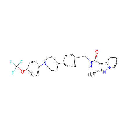 Cc1nn2ccccc2c1C(=O)NCc1ccc(C2CCN(c3ccc(OC(F)(F)F)cc3)CC2)cc1